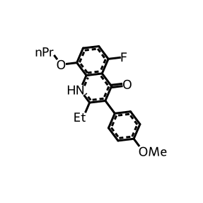 CCCOc1ccc(F)c2c(=O)c(-c3ccc(OC)cc3)c(CC)[nH]c12